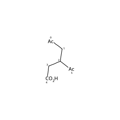 CC(=O)CC(CC(=O)O)C(C)=O